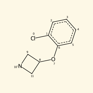 Clc1ccccc1OC1C[N]C1